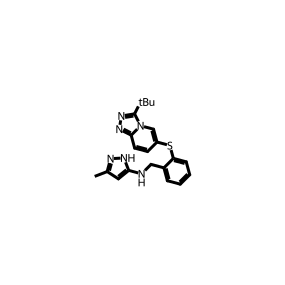 Cc1cc(NCc2ccccc2Sc2ccc3nnc(C(C)(C)C)n3c2)[nH]n1